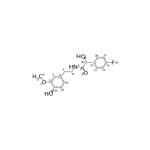 COc1cc(CCNC(=O)C(O)c2ccc(F)cc2)ccc1O